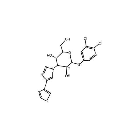 OCC1OC(Sc2ccc(Cl)c(Cl)c2)[C@@H](O)C(n2cc(-c3cscn3)nn2)C1O